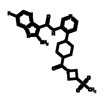 CS(=O)(=O)C1CN(C(=O)C2CCN(c3ccncc3NC(=O)c3c(N)nn4cc(F)cnc34)CC2)C1